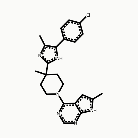 Cc1cc2c(N3CCC(C)(c4nc(C)c(-c5ccc(Cl)cc5)[nH]4)CC3)ncnc2[nH]1